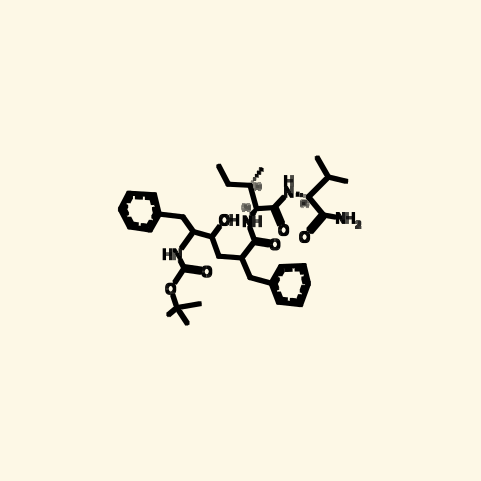 CC[C@H](C)[C@H](NC(=O)C(Cc1ccccc1)CC(O)C(Cc1ccccc1)NC(=O)OC(C)(C)C)C(=O)N[C@@H](C(N)=O)C(C)C